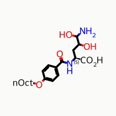 CCCCCCCCOc1ccc(C(=O)N[C@@H](CC(O)C(N)O)C(=O)O)cc1